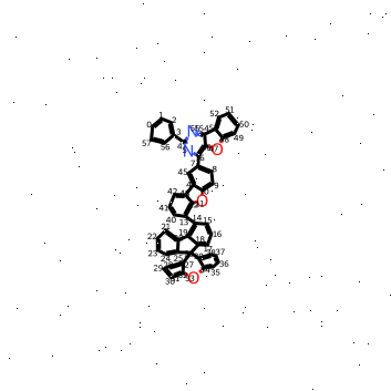 c1ccc(-c2nc(-c3ccc4oc5c(-c6cccc7c6-c6ccccc6C76c7ccccc7Oc7ccccc76)cccc5c4c3)c3oc4ccccc4c3n2)cc1